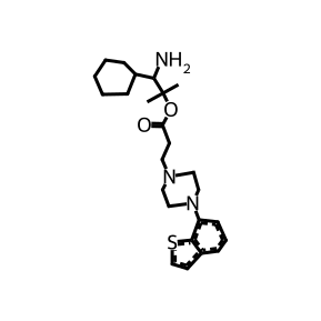 CC(C)(OC(=O)CCN1CCN(c2cccc3ccsc23)CC1)C(N)C1CCCCC1